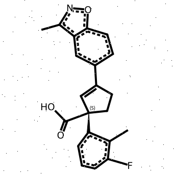 Cc1c(F)cccc1[C@@]1(C(=O)O)C=C(c2ccc3onc(C)c3c2)CC1